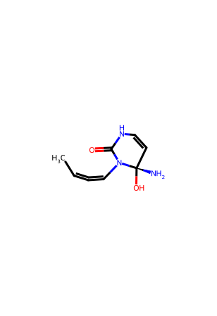 CC=C=CN1C(=O)NC=C[C@]1(N)O